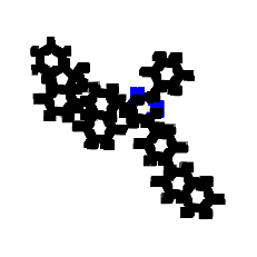 CC1(C)c2ccccc2-c2cccc(-c3ccc(-c4cc(-c5ccc(-c6ccc7ccccc7c6)cc5)nc(-c5ccccc5)n4)c4ccccc34)c21